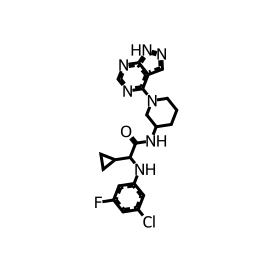 O=C(NC1CCCN(c2ncnc3[nH]ncc23)C1)C(Nc1cc(F)cc(Cl)c1)C1CC1